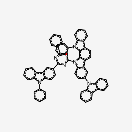 c1ccc(-c2nc(-c3ccc4c(c3)c3ccccc3n4-c3ccccc3)nc(-n3c4ccc(-n5c6ccccc6c6ccccc65)cc4c4ccc5c6ccccc6n(-c6ccccc6)c5c43)n2)cc1